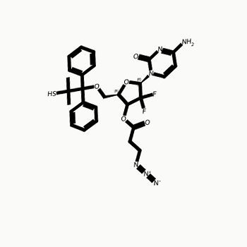 CC(C)(S)C(OC[C@H]1O[C@@H](n2ccc(N)nc2=O)C(F)(F)C1OC(=O)CCN=[N+]=[N-])(c1ccccc1)c1ccccc1